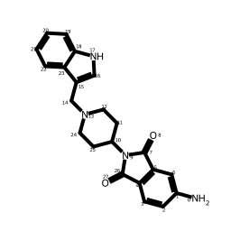 Nc1ccc2c(c1)C(=O)N(C1CCN(Cc3c[nH]c4ccccc34)CC1)C2=O